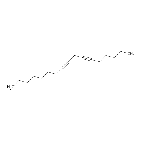 [CH2]CCCCCCC#CCC#CCCCCC